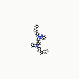 c1ccc(-c2cccc(-c3ccc(-n4c5ccc(-c6ccc7c(c6)n6c8ccccc8nc6n7-c6ccc(-c7cccc(-c8ccccc8)c7)cc6)cc5n5c6ccccc6nc45)cc3)c2)cc1